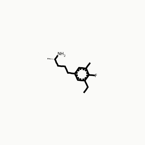 CCc1cc(CCC[C@H](C)N)cc(C)c1F